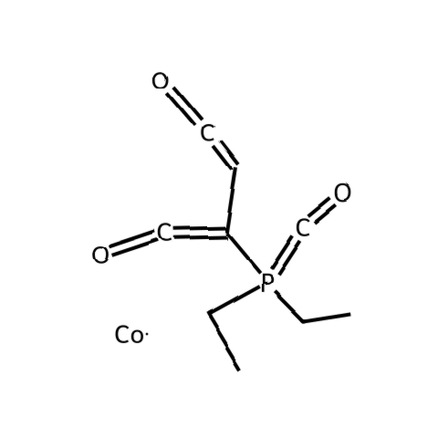 CCP(=C=O)(CC)C(=C=O)C=C=O.[Co]